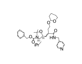 CC(C)C[C@H]1[C@H](C=C(CCOC2CCCCO2)C(=O)NCc2ccncc2)OC(C)(C)N1C(=O)OCc1ccccc1